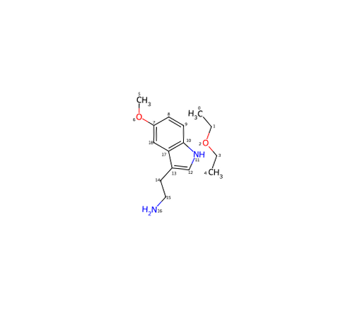 CCOCC.COc1ccc2[nH]cc(CCN)c2c1